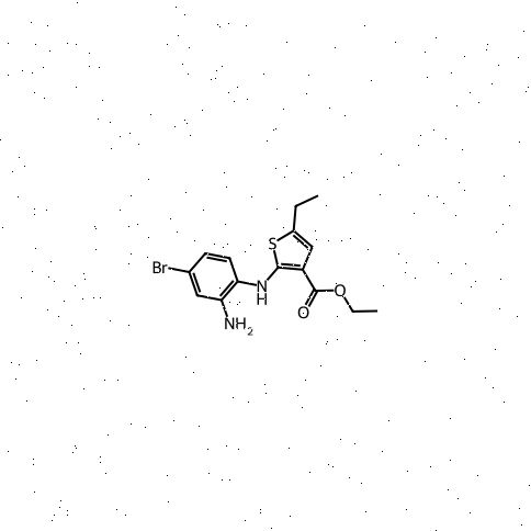 CCOC(=O)c1cc(CC)sc1Nc1ccc(Br)cc1N